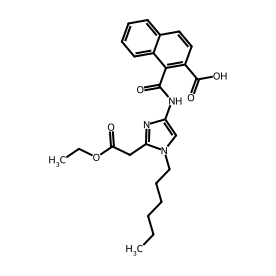 CCCCCCn1cc(NC(=O)c2c(C(=O)O)ccc3ccccc23)nc1CC(=O)OCC